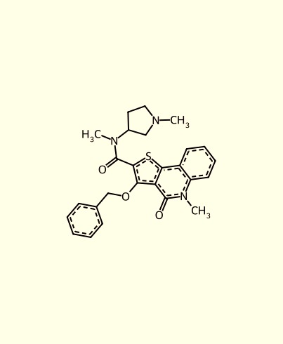 CN1CCC(N(C)C(=O)c2sc3c(c2OCc2ccccc2)c(=O)n(C)c2ccccc32)C1